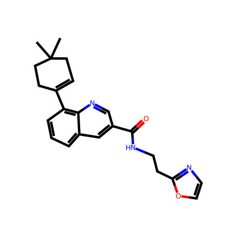 CC1(C)CC=C(c2cccc3cc(C(=O)NCCc4ncco4)cnc23)CC1